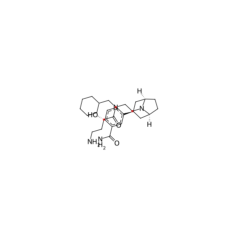 NCC[C@H](O)C(=O)N(CCN1[C@@H]2CC[C@H]1C[C@@H](c1cccc(C(N)=O)c1)C2)CC1CCCCC1